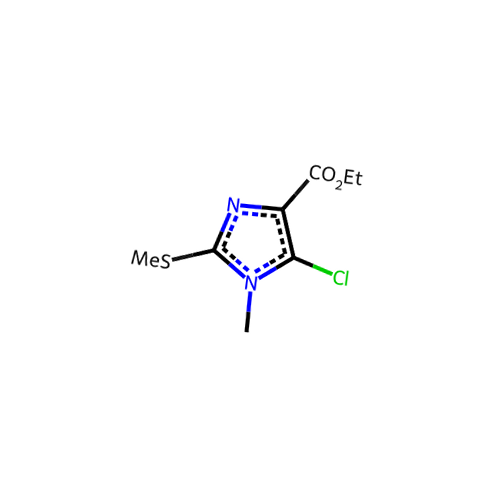 CCOC(=O)c1nc(SC)n(C)c1Cl